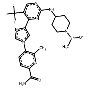 Cc1nc(C(N)=O)ccc1-n1cnc(-c2nc(NC3CCN([S+](C)[O-])CC3)ncc2C(F)(F)F)c1